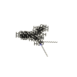 CCCCCCCCCCCCC/C=C/[C@@H](O)[C@H](CO[C@@H]1OC(CO)[C@@H](O[C@@H]2OC(CO[C@@H]3OC(CO)[C@@H](O[C@@H]4OC(CO)[C@H](O)[C@H](O)C4O)[C@H](O)C3NC(C)=O)[C@H](O)[C@H](O[C@H]3OC(CO)[C@H](O)[C@H](O[C@@H]4OC(CO)[C@H](O)[C@H](O[C@H]5OC(CO)[C@H](O)[C@H](O)C5NC(C)=O)C4NC(C)=O)C3O)C2O)[C@H](O)C1O)NC(=O)CCCCCCCCCCCCCCC